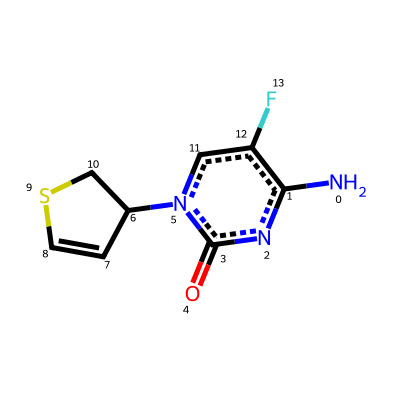 Nc1nc(=O)n(C2C=CSC2)cc1F